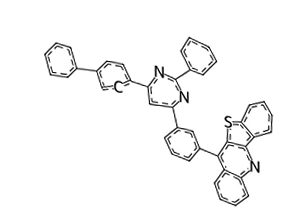 c1ccc(-c2ccc(-c3cc(-c4cccc(-c5c6ccccc6nc6c5sc5ccccc56)c4)nc(-c4ccccc4)n3)cc2)cc1